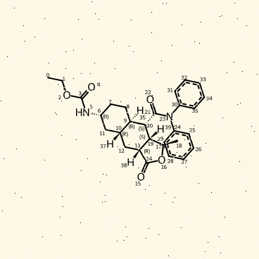 CCOC(=O)N[C@@H]1CC[C@@H]2[C@@H](C1)C[C@H]1C(=O)O[C@H](C)[C@H]1[C@H]2C(=O)N(c1ccccc1)c1ccccc1